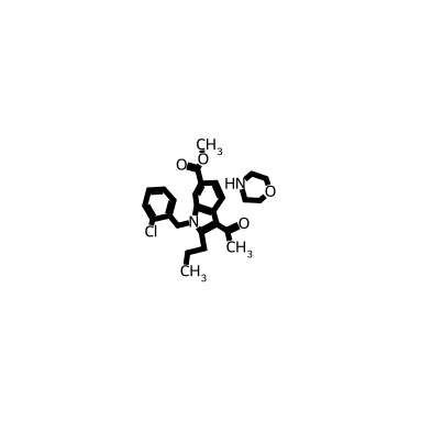 C1COCCN1.CCCc1c(C(C)=O)c2ccc(C(=O)OC)cc2n1Cc1ccccc1Cl